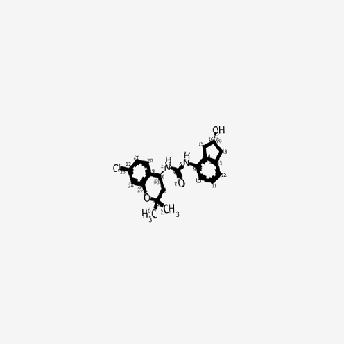 CC1(C)C[C@@H](NC(=O)Nc2cccc3c2C[C@H](O)C3)c2ccc(Cl)cc2O1